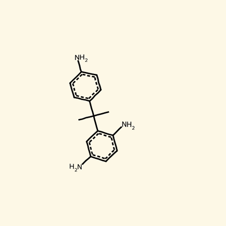 CC(C)(c1ccc(N)cc1)c1cc(N)ccc1N